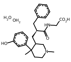 CN1CCC(C)(c2cccc(O)c2)C(C[C@@H](Cc2ccccc2)C(=O)NCC(=O)O)C1.O.O